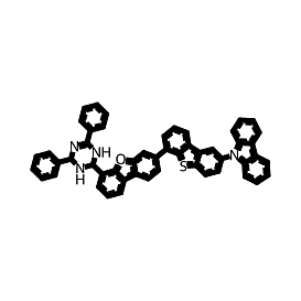 c1ccc(C2=NC(c3ccccc3)NC(c3cccc4c3oc3cc(-c5cccc6c5sc5ccc(-n7c8ccccc8c8ccccc87)cc56)ccc34)N2)cc1